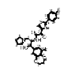 O=C(N[C@H](CN1CCCC1)[C@H](O)c1cc(F)c2c(c1)OCCO2)C(=O)c1csc(-c2ccc(F)cc2)n1